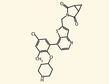 Cc1cc(Cl)cc(-c2ccnc3cc(CN4C(=O)C5CC5C4=O)sc23)c1OC1CCNCC1